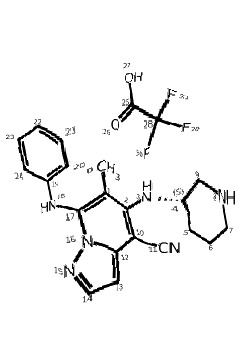 Cc1c(N[C@H]2CCCNC2)c(C#N)c2ccnn2c1Nc1ccccc1.O=C(O)C(F)(F)F